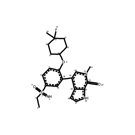 CCS(=N)(=O)c1ccc(OC2CCC(C)(F)CC2)c(-c2cn(C)c(=O)c3[nH]ccc23)c1